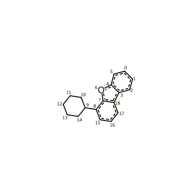 c1ccc2c(c1)oc1c(C3CCCCC3)cccc12